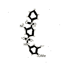 COc1ccc(NS(=O)(=O)c2ccc(S(=O)(=O)c3ccccc3)c(C#N)c2)cc1F